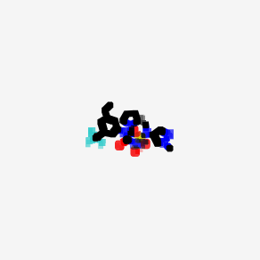 CCc1cc(NC(=O)[NH+]([O-])S(=O)(=O)N(C[C@H]2CCCN2C)c2cnn(C)c2)cc(C(F)(F)F)c1